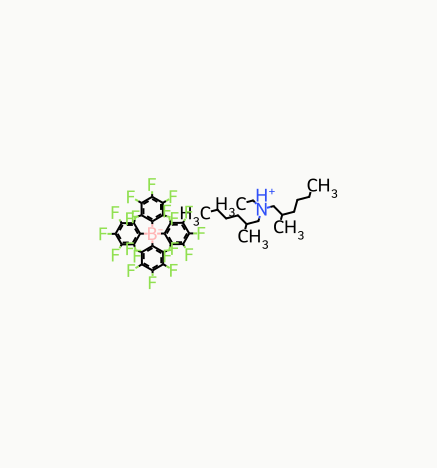 CCCCC(C)C[NH+](CC)CC(C)CCCC.Fc1c(F)c(F)c([B-](c2c(F)c(F)c(F)c(F)c2F)(c2c(F)c(F)c(F)c(F)c2F)c2c(F)c(F)c(F)c(F)c2F)c(F)c1F